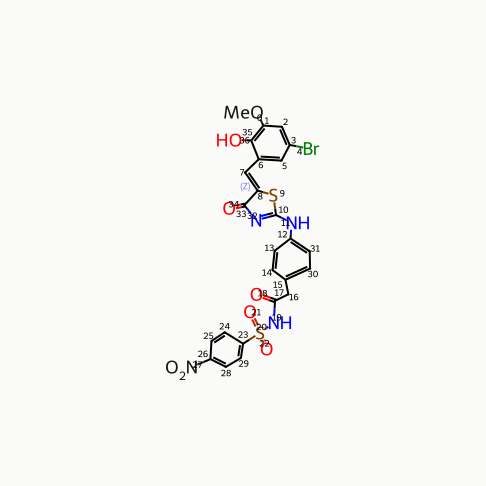 COc1cc(Br)cc(/C=C2\SC(Nc3ccc(CC(=O)NS(=O)(=O)c4ccc([N+](=O)[O-])cc4)cc3)=NC2=O)c1O